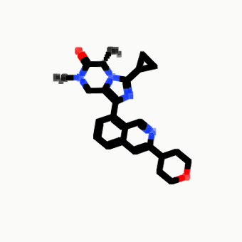 C[C@H]1C(=O)N(C)Cc2c(-c3cccc4cc(C5CCOCC5)ncc34)nc(C3CC3)n21